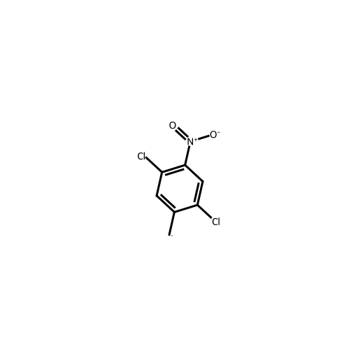 [CH2]c1cc(Cl)c([N+](=O)[O-])cc1Cl